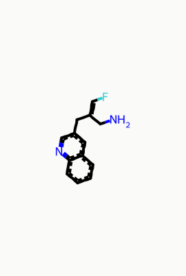 NC/C(=C\F)Cc1cnc2ccccc2c1